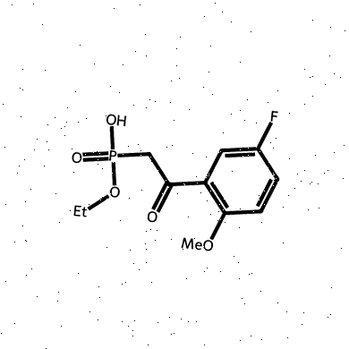 CCOP(=O)(O)CC(=O)c1cc(F)ccc1OC